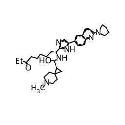 CCC(=O)CCCCC[C@H](NC(O)[C@H]1CC12CCN(C)CC2)c1ncc(-c2ccc3nc(N4CCCC4)ccc3c2)[nH]1